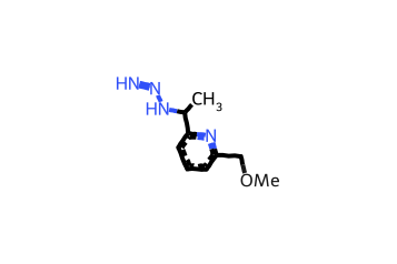 COCc1cccc(C(C)NN=N)n1